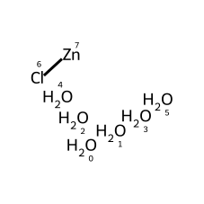 O.O.O.O.O.O.[Cl][Zn]